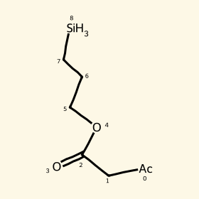 CC(=O)CC(=O)OCCC[SiH3]